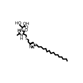 CCCCCCCCCCCCCCCCn1cc(CCSCC(NC(C)=O)C(=O)NC(CO)C(=O)O)nn1